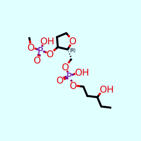 CCC(O)CCOP(=O)(O)OC[C@H]1OCCC1OP(=O)(O)OC